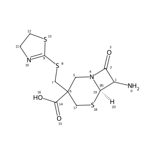 NC1C(=O)N2CC(CSC3=NCCS3)(C(=O)O)CS[C@H]12